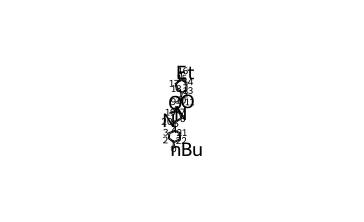 CCCCc1ccc(-c2cnc(OC(=O)c3ccc(CC)cc3)cn2)cc1